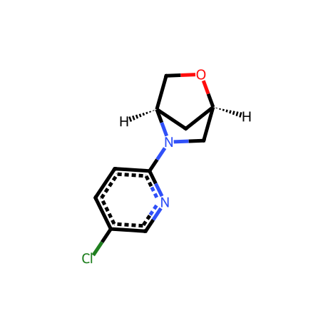 Clc1ccc(N2C[C@H]3C[C@@H]2CO3)nc1